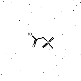 C=S(=C)(C)CC(=O)O